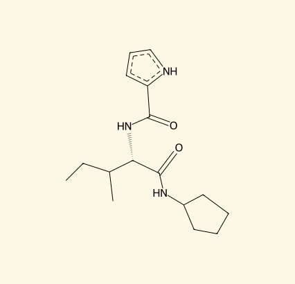 CCC(C)[C@H](NC(=O)c1ccc[nH]1)C(=O)NC1CCCC1